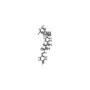 Cc1cc(C)nc(NS(=O)(=O)c2ccc(NC(=S)NC(=O)/C=C/c3ccc(F)cc3)cc2)n1